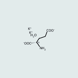 N[C@@H](CCC(=O)[O-])C(=O)[O-].O.[K+].[K+]